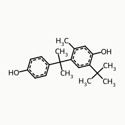 Cc1cc(O)c(C(C)(C)C)cc1C(C)(C)c1ccc(O)cc1